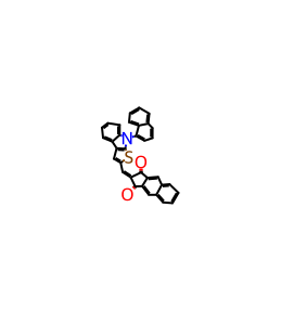 O=C1C(=Cc2cc3c4ccccc4n(-c4cccc5ccccc45)c3s2)C(=O)c2cc3ccccc3cc21